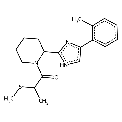 CSC(C)C(=O)N1CCCCC1c1nc(-c2ccccc2C)c[nH]1